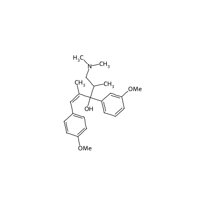 COc1ccc(C=C(C)C(O)(c2cccc(OC)c2)C(C)CN(C)C)cc1